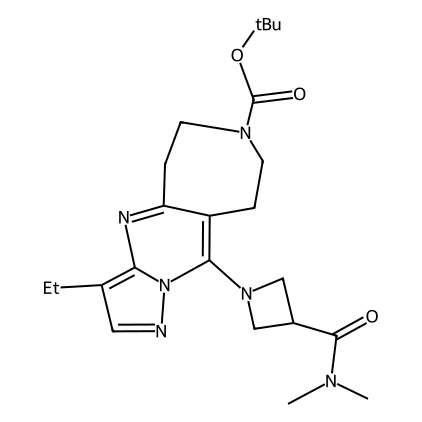 CCc1cnn2c(N3CC(C(=O)N(C)C)C3)c3c(nc12)CCN(C(=O)OC(C)(C)C)CC3